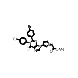 COC(=O)C[SH]1C=CC(n2cnc3c(=O)n(-c4ccc(Cl)cc4)c(-c4ccc(Br)cc4)nc32)=C1